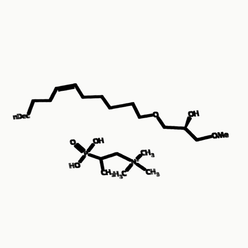 CC(C[N+](C)(C)C)P(=O)(O)O.CCCCCCCCCCCC/C=C\CCCCCOC[C@@H](O)COC